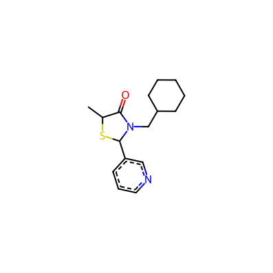 CC1SC(c2cccnc2)N(CC2CCCCC2)C1=O